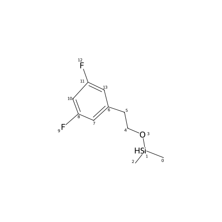 C[SiH](C)OCCc1cc(F)cc(F)c1